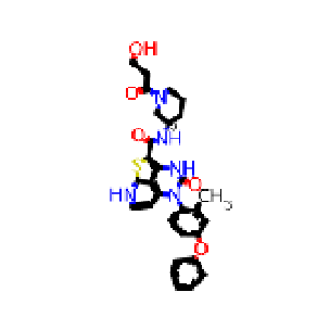 Cc1cc(Oc2ccccc2)ccc1N1C(=O)NC2=C(C(=O)N[C@@H]3CCCN(C(=O)CCO)C3)SC3NC=CC1=C23